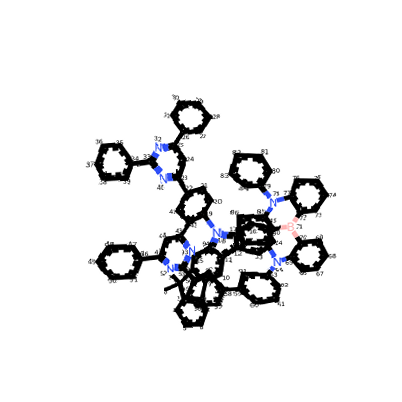 CC1(C)c2ccccc2-c2cc3c4ccccc4n(-c4ccc(-c5cc(-c6ccccc6)nc(-c6ccccc6)n5)cc4-c4cc(-c5ccccc5)nc(-c5cccc(-c6cccc(N7c8ccccc8B8c9ccccc9N(c9ccccc9)c9cccc7c98)c6)c5)n4)c3cc21